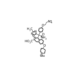 Cc1noc(C(C(N)=O)(c2ccc(OCCN3CC3)cc2)c2nc(C(=O)O)cc3cc(Oc4ccc(C(C)(C)C)cc4)ccc23)n1